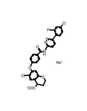 O=C(Nc1ccc(-c2ccc(Cl)cc2F)nn1)c1ccc(Oc2cc3c(cc2Cl)C(C(=O)[O-])CCO3)cc1.[Na+]